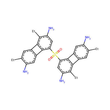 CCc1cc2c(cc1N)-c1c(S(=O)(=O)c3cc(N)c(CC)c4c3-c3cc(N)c(CC)cc3-4)cc(N)c(CC)c1-2